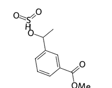 COC(=O)c1cccc(C(C)O[SH](=O)=O)c1